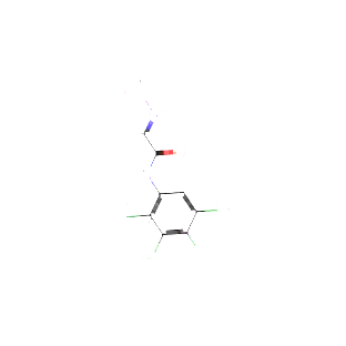 O=C(C=NO)Nc1cc(F)c(F)c(Br)c1Cl